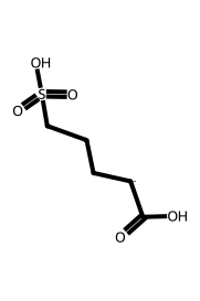 O=C(O)[CH]CCCS(=O)(=O)O